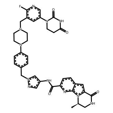 C[C@@H]1CNC(=O)c2cc3ccc(C(=O)Nc4cnn(Cc5ccc(N6CCN(Cc7cc(N8CCC(=O)NC8=O)cnc7F)CC6)cc5)c4)nc3n21